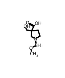 COBN1CCC(CO)(C(=O)O)C1